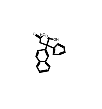 O=C(O)CC(C(=O)O)(c1ccccc1)c1ccc2ccccc2c1